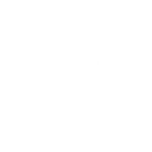 CCc1ccc2ccccc2c1CC.P